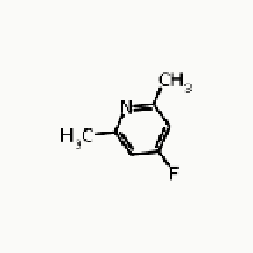 Cc1cc(F)cc(C)n1